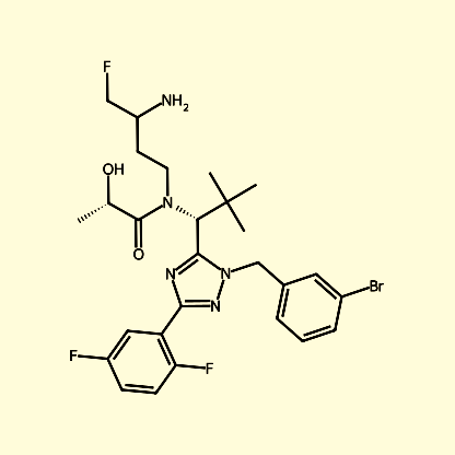 C[C@H](O)C(=O)N(CCC(N)CF)[C@@H](c1nc(-c2cc(F)ccc2F)nn1Cc1cccc(Br)c1)C(C)(C)C